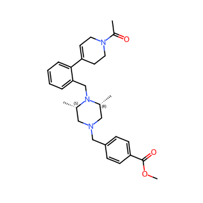 COC(=O)c1ccc(CN2C[C@@H](C)N(Cc3ccccc3C3=CCN(C(C)=O)CC3)[C@@H](C)C2)cc1